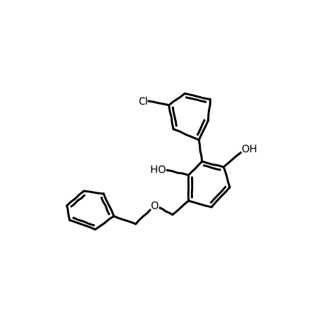 Oc1ccc(COCc2ccccc2)c(O)c1-c1cccc(Cl)c1